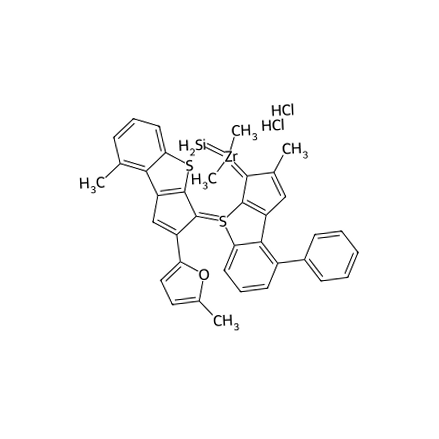 CC1=CC2=C([C]1=[Zr]([CH3])([CH3])=[SiH2])S(=C1C(c3ccc(C)o3)=Cc3c1sc1cccc(C)c31)c1cccc(-c3ccccc3)c12.Cl.Cl